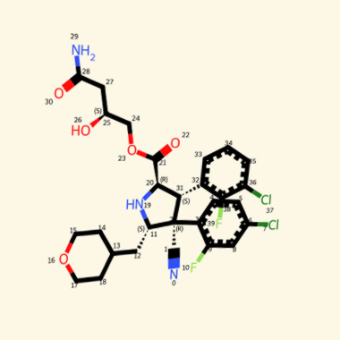 N#C[C@]1(c2ccc(Cl)cc2F)[C@H](CC2CCOCC2)N[C@@H](C(=O)OC[C@@H](O)CC(N)=O)[C@@H]1c1cccc(Cl)c1F